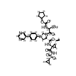 C=C[C@@H]1C[C@]1(NC(=O)[C@@H]1CN(c2ccc(-c3cncnc3)cc2)CN1C(=O)C(NC(=O)OC1CCCC1)C(C)(C)C)C(=O)NS(=O)(=O)C1CC1